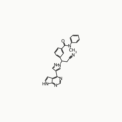 CN(C(=O)c1cccc(C(CC#N)n2cc(-c3ncnc4[nH]ccc34)cn2)c1)c1ccccc1